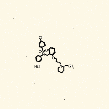 CCC1CCCCN1CCCOc1ccccc1CN(c1ccccc1)S(=O)(=O)c1ccc(Cl)cc1.Cl